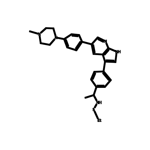 CCSNC(C)c1ccc(-c2c[nH]c3ncc(-c4ccc(N5CCN(C)CC5)cc4)cc23)cc1